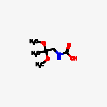 CO[Si](C)(CNC(=O)O)OC